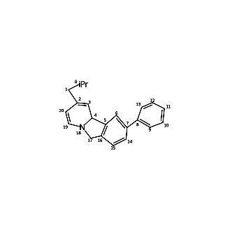 CC(C)CC1=CC2c3cc(-c4ccccc4)ccc3CN2C=C1